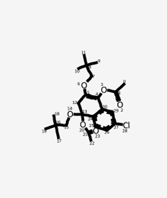 CC(=O)OC1=C(OCC(C)(C)C)CC(OCC(C)(C)C)(OC(C)=O)c2ccc(Cl)cc21